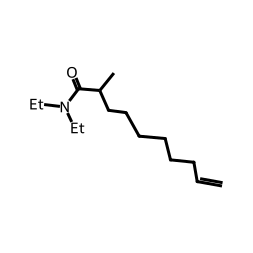 C=CCCCCCCC(C)C(=O)N(CC)CC